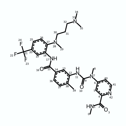 CNC(=O)c1cc(N(C)C(=O)Nc2cc(C(=O)Nc3cc(C(F)(F)F)ccc3N(C)CCCN(C)C)ccc2C)ccn1